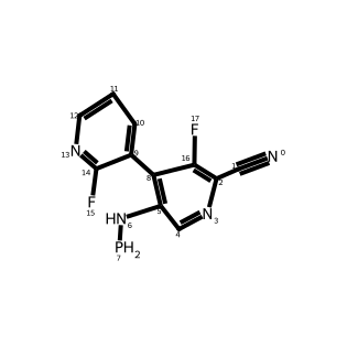 N#Cc1ncc(NP)c(-c2cccnc2F)c1F